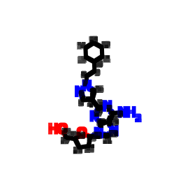 Nc1nc(-c2cnn(CCC3CCCCC3)c2)nc2c1ncn2C1[CH]CC(CO)O1